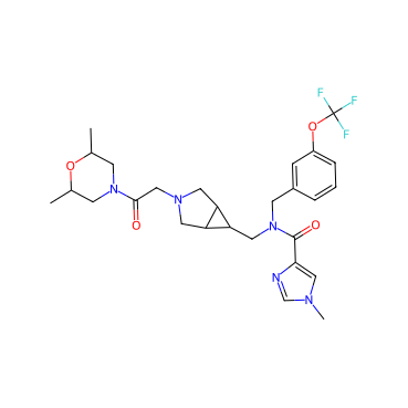 CC1CN(C(=O)CN2CC3C(C2)C3CN(Cc2cccc(OC(F)(F)F)c2)C(=O)c2cn(C)cn2)CC(C)O1